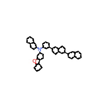 c1cc(-c2ccc3cc(-c4ccc5ccccc5c4)ccc3c2)cc(N(c2ccc3ccccc3c2)c2ccc3c(c2)oc2ccccc23)c1